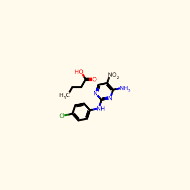 CCCC(=O)O.Nc1nc(Nc2ccc(Cl)cc2)ncc1[N+](=O)[O-]